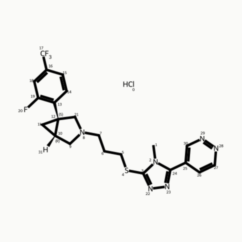 Cl.Cn1c(SCCCN2C[C@@H]3C[C@]3(c3ccc(C(F)(F)F)cc3F)C2)nnc1-c1ccnnc1